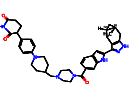 C[C@@]12Cc3[nH]nc(-c4cc5ccc(C(=O)N6CCN(CC7CCN(c8ccc(C9CCC(=O)NC9=O)cc8)CC7)CC6)cc5[nH]4)c3C[C@@H]1C2